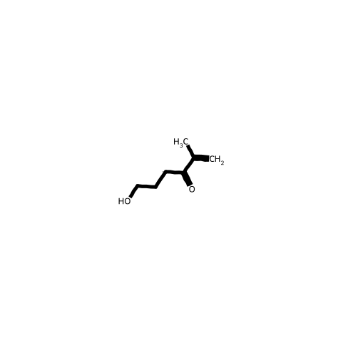 C=C(C)C(=O)[CH]CCO